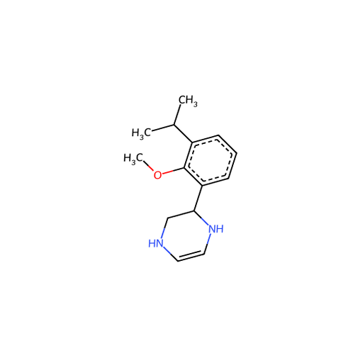 COc1c(C(C)C)cccc1C1CNC=CN1